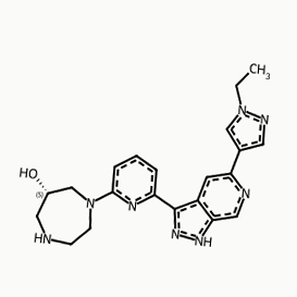 CCn1cc(-c2cc3c(-c4cccc(N5CCNC[C@H](O)C5)n4)n[nH]c3cn2)cn1